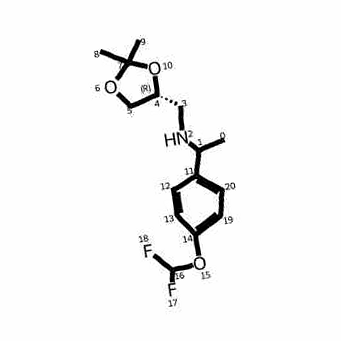 CC(NC[C@@H]1COC(C)(C)O1)c1ccc(OC(F)F)cc1